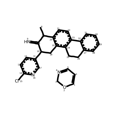 C1=COCN=C1.CC1C(=N)C(c2ccc(Cl)nc2)Cc2c1ccc1c2CCc2ccccc2-1